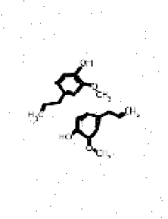 C=CCC1=CC(OC)C(O)C=C1.CCCc1ccc(O)c(OC)c1